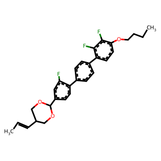 C/C=C/C1COC(c2ccc(-c3ccc(-c4ccc(OCCCC)c(F)c4F)cc3)c(F)c2)OC1